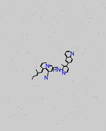 C\C=C/C(=C\C(C)=C\CC)c1ncc(CNc2nccc(-c3ccc4ncccc4c3)c2C)cc1C#N